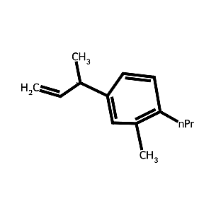 C=C[C](C)c1ccc(CCC)c(C)c1